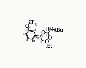 CCOC[C@H](OC(=O)NC(C)(C)C)c1cccc(OC(F)(F)F)c1